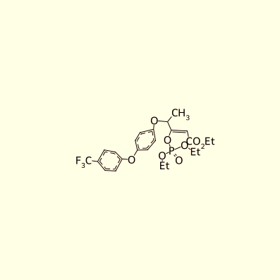 CCOC(=O)C=C(OP(=O)(OCC)OCC)C(C)Oc1ccc(Oc2ccc(C(F)(F)F)cc2)cc1